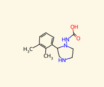 Cc1cccc(C2CNCCN2NC(=O)O)c1C